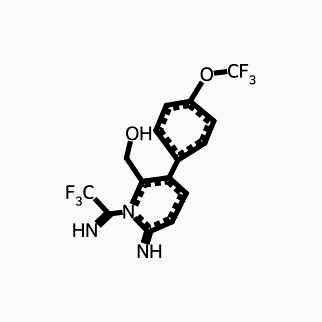 N=C(n1c(CO)c(-c2ccc(OC(F)(F)F)cc2)ccc1=N)C(F)(F)F